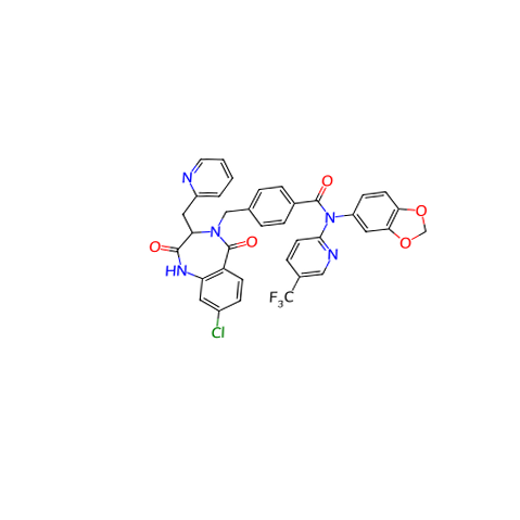 O=C1Nc2cc(Cl)ccc2C(=O)N(Cc2ccc(C(=O)N(c3ccc4c(c3)OCO4)c3ccc(C(F)(F)F)cn3)cc2)C1Cc1ccccn1